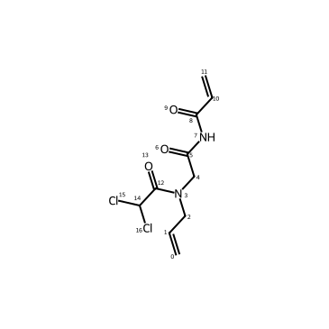 C=CCN(CC(=O)NC(=O)C=C)C(=O)C(Cl)Cl